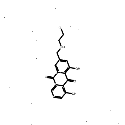 O=C1c2cccc(O)c2C(=O)c2c(O)cc(CNCCCl)cc21